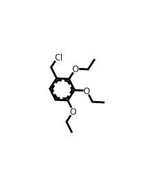 CCOc1ccc(CCl)c(OCC)c1OCC